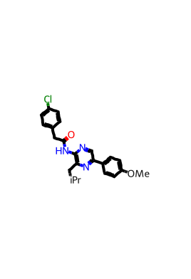 COc1ccc(-c2cnc(NC(=O)Cc3ccc(Cl)cc3)c(CC(C)C)n2)cc1